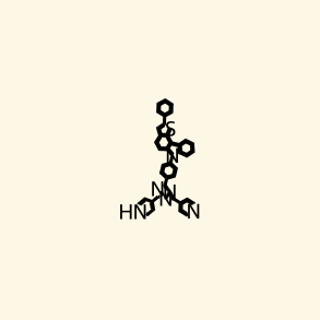 C1=CC(C2N=C(c3ccc(-n4c5ccccc5c5c6sc(-c7ccccc7)cc6ccc54)cc3)N3C(c4ccncc4)N23)=CCN1